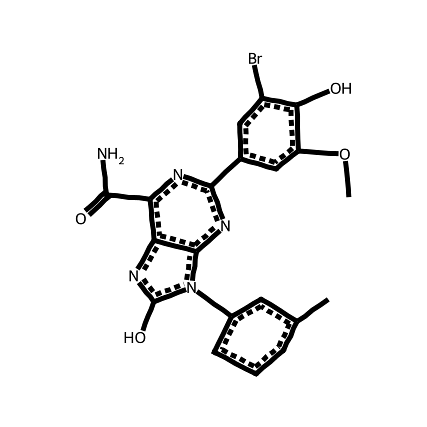 COc1cc(-c2nc(C(N)=O)c3nc(O)n(-c4cccc(C)c4)c3n2)cc(Br)c1O